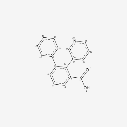 O=C(O)c1cccc(-c2ccccc2)c1-c1cccnc1